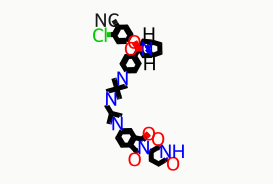 N#Cc1ccc(O[C@H]2C[C@H]3CC[C@@H](C2)N3C(=O)c2ccc(N3CC4(CN(CC5CN(c6ccc7c(c6)C(=O)N(C6CCC(=O)NC6=O)C7=O)C5)C4)C3)cc2)cc1Cl